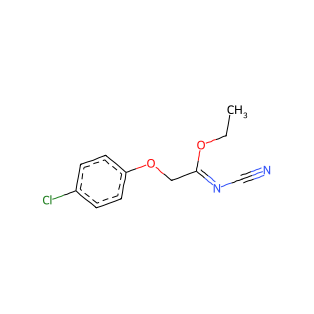 CCOC(COc1ccc(Cl)cc1)=NC#N